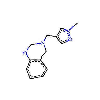 Cn1cc(CN2CNc3ccccc3C2)cn1